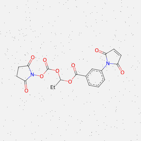 CCC(OC(=O)ON1C(=O)CCC1=O)OC(=O)c1cccc(N2C(=O)C=CC2=O)c1